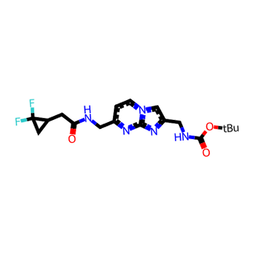 CC(C)(C)OC(=O)NCc1cn2ccc(CNC(=O)CC3CC3(F)F)nc2n1